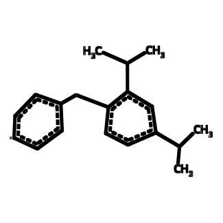 CC(C)c1ccc(Cc2cc[c]cc2)c(C(C)C)c1